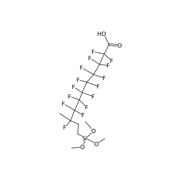 CO[Si](CCC(C)(F)C(F)(F)C(F)(F)C(F)(F)C(F)(F)C(F)(F)C(F)(F)C(F)(F)C(=O)O)(OC)OC